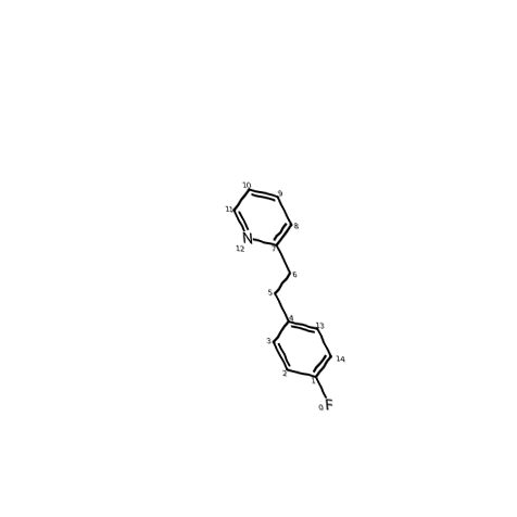 Fc1ccc(CCc2ccccn2)cc1